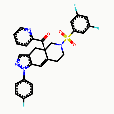 O=C(c1ccccn1)[C@]12Cc3cnn(-c4ccc(F)cc4)c3C=C1CCN(S(=O)(=O)c1cc(F)cc(F)c1)C2